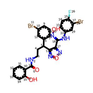 O=C(NCCC(c1cccc(Br)c1)c1nonc1C(=NO)Nc1ccc(F)c(Br)c1)c1ccccc1O